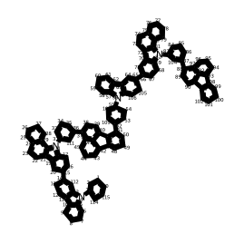 c1ccc(-n2c3ccccc3c3ccc(-c4ccc5c(c4)c4ccc6ccccc6c4n5-c4cccc(-c5ccc6c7c(cccc57)-c5cccc(-c7ccc(-n8c9ccccc9c9cc(-c%10ccc%11c(c%10)c%10ccc%12ccccc%12c%10n%11-c%10cccc(-c%11ccc%12c%13c(cccc%11%13)-c%11ccccc%11-%12)c%10)ccc98)cc7)c5-6)c4)cc32)cc1